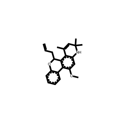 C=CCC1Oc2ccccc2-c2c(OC)cc3c(c21)C(C)=CC(C)(C)N3